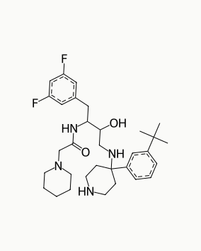 CC(C)(C)c1cccc(C2(NCC(O)C(Cc3cc(F)cc(F)c3)NC(=O)CN3CCCCC3)CCNCC2)c1